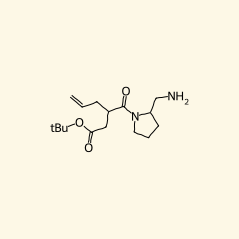 C=CCC(CC(=O)OC(C)(C)C)C(=O)N1CCCC1CN